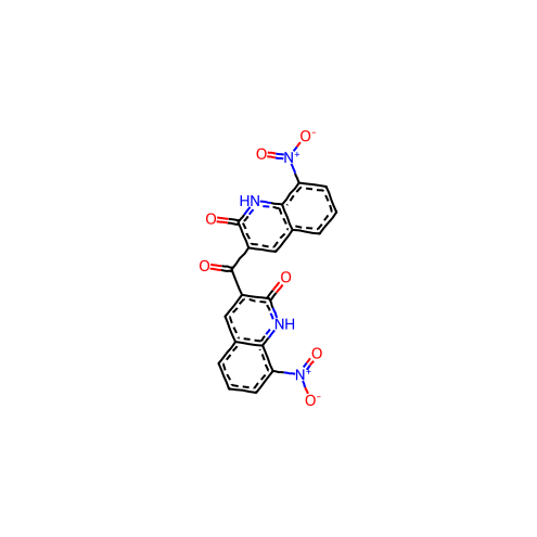 O=C(c1cc2cccc([N+](=O)[O-])c2[nH]c1=O)c1cc2cccc([N+](=O)[O-])c2[nH]c1=O